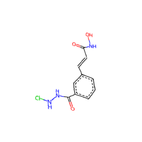 O=C(/C=C/c1cccc(C(=O)NNCl)c1)NO